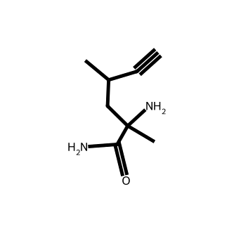 C#CC(C)CC(C)(N)C(N)=O